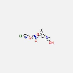 Cc1cc(CN2CCC(O)CC2)ccc1C(=O)Cn1ncc(OCc2ccc(Cl)cn2)cc1=O